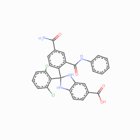 NC(=O)c1ccc(C2(c3c(Cl)cccc3Cl)Nc3ccc(C(=O)O)cc3N2)c(C(=O)Nc2ccccc2)c1